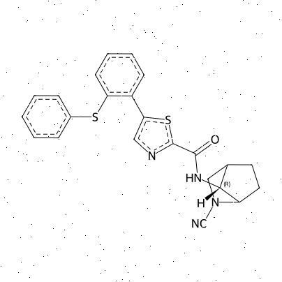 N#CN1CC2CCC1[C@@H]2NC(=O)c1ncc(-c2ccccc2Sc2ccccc2)s1